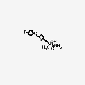 CC(C#Cc1ccc(COc2ccc(F)cc2)s1)N(O)C(N)=O